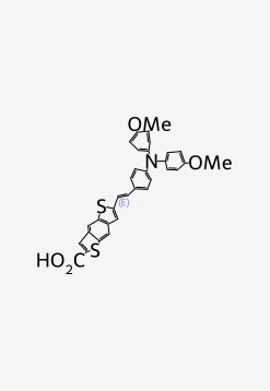 COc1ccc(N(c2ccc(/C=C/c3cc4cc5sc(C(=O)O)cc5cc4s3)cc2)c2ccc(OC)cc2)cc1